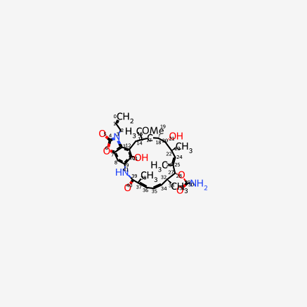 C=CCn1c(=O)oc2cc3c(O)c(c21)C[C@@H](C)C[C@H](OC)[C@H](O)[C@@H](C)/C=C(\C)[C@H](OC(N)=O)[C@@H](C)/C=C\C=C(/C)C(=O)N3